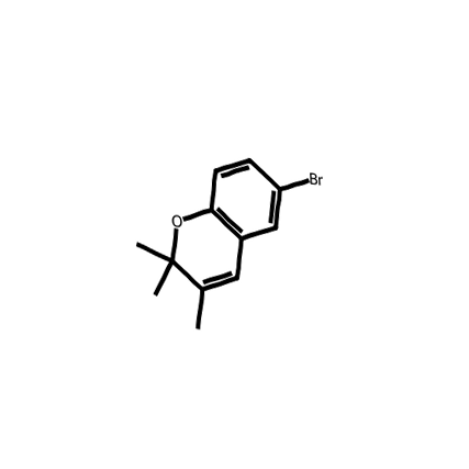 CC1=Cc2cc(Br)ccc2OC1(C)C